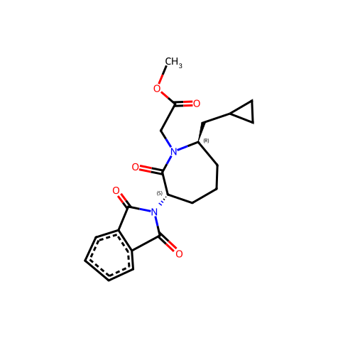 COC(=O)CN1C(=O)[C@@H](N2C(=O)c3ccccc3C2=O)CCC[C@@H]1CC1CC1